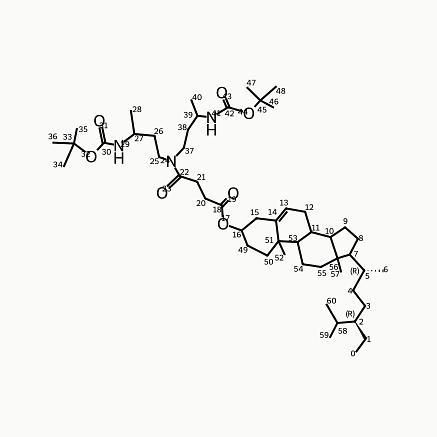 CC[C@H](CC[C@@H](C)C1CCC2C3CC=C4CC(OC(=O)CCC(=O)N(CCC(C)NC(=O)OC(C)(C)C)CCC(C)NC(=O)OC(C)(C)C)CCC4(C)C3CCC21C)C(C)C